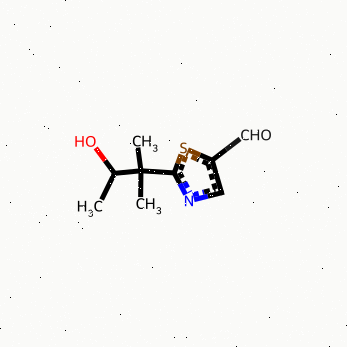 CC(O)C(C)(C)c1ncc(C=O)s1